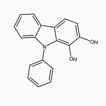 Oc1ccc2c3ccccc3n(-c3ccccc3)c2c1O